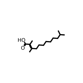 CC(CCCCCCCC(C)C)=C(C)C(=O)O